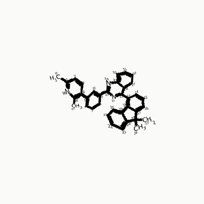 Cc1ccc(-c2cccc(-c3nc(-c4cccc5c4-c4ccccc4C5(C)C)c4ccccc4n3)c2)c(C)n1